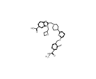 CNC(=O)c1ccc(COc2cccc(C3CCN(Cc4nc5ccc(C(=O)O)cc5n4CC4CCO4)CC3)n2)c(F)c1